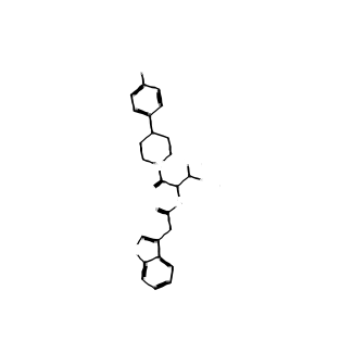 CC(C)C(NC(=O)Cc1csc2ccccc12)C(=O)N1CCC(c2ccc(Cl)cc2)CC1